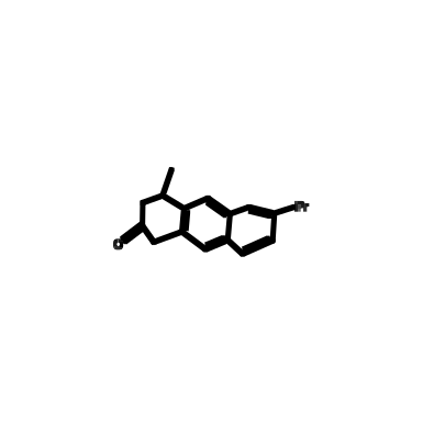 CC(C)c1ccc2cc3c(cc2c1)C(C)CC(=O)C3